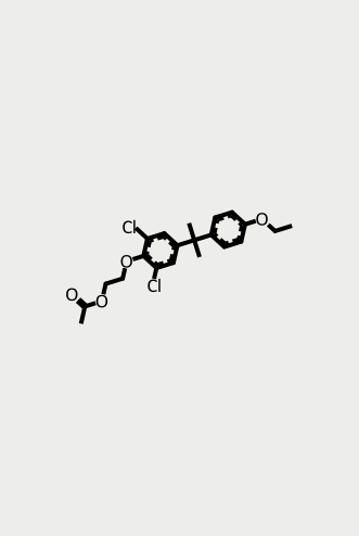 CCOc1ccc(C(C)(C)c2cc(Cl)c(OCCOC(C)=O)c(Cl)c2)cc1